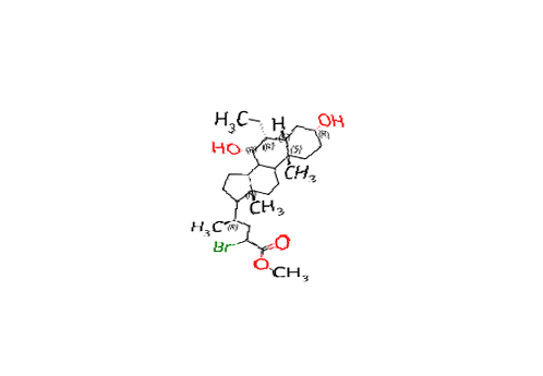 CC[C@H]1[C@@H](O)C2C3CCC([C@H](C)CC(Br)C(=O)OC)[C@@]3(C)CCC2[C@@]2(C)CC[C@@H](O)C[C@@H]12